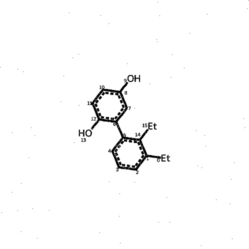 CCc1cccc(-c2cc(O)ccc2O)c1CC